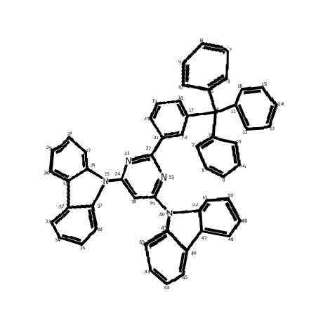 c1ccc(C(c2ccccc2)(c2ccccc2)c2cccc(-c3nc(-n4c5ccccc5c5ccccc54)cc(-n4c5ccccc5c5ccccc54)n3)c2)cc1